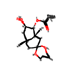 COC(=O)O[C@@H]1[C@@H]2CC3(C[C@@H]2C[C@H]1O)OCCO3